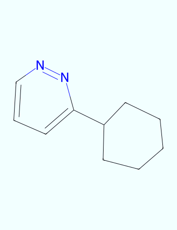 c1cnnc(C2CCCCC2)c1